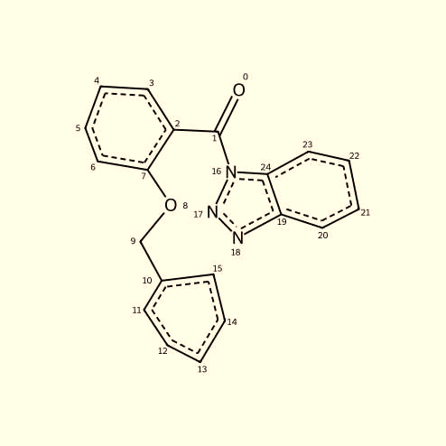 O=C(c1ccccc1OCc1ccccc1)n1nnc2ccccc21